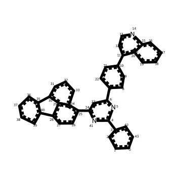 c1ccc(-c2nc(-c3ccc(-c4ccnc5ccccc45)cc3)cc(-c3ccc4c5c(cccc35)-c3ccccc3-4)n2)cc1